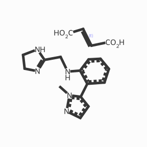 Cn1nccc1-c1ccccc1NCC1=NCCN1.O=C(O)/C=C/C(=O)O